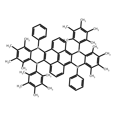 Cc1c(C)c(C)c(B2c3c(C)c(C)c(C)c(C)c3N(c3ccccc3)c3c2c2cccc4c5c(c6cccc3c6c24)B(c2c(C)c(C)c(C)c(C)c2C)c2c(C)c(C)c(C)c(C)c2N5c2ccccc2)c(C)c1C